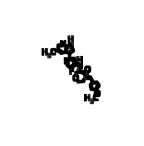 COc1ccc(CN2CCOC[C@H](Nc3nc(-c4c[nH]c5ncc(C)cc45)ncc3F)C2=O)cc1